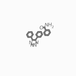 NC(=O)c1ccccc1.c1ccc(-c2nnnnc2-c2ccccc2)cc1